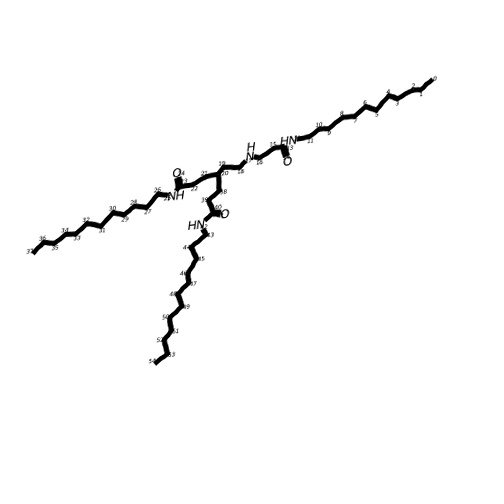 CCCCCCCCCCCCNC(=O)CCNCCC(CCC(=O)NCCCCCCCCCCCC)CCC(=O)NCCCCCCCCCCCC